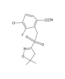 CC1(C)CC(S(=O)(=O)Cc2c(C#N)ccc(Cl)c2F)=NO1